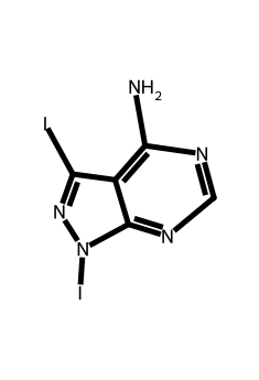 Nc1ncnc2c1c(I)nn2I